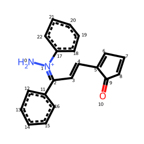 N[N+](=C(C=CC1=CC=CC1=O)c1ccccc1)c1ccccc1